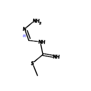 CSC(=N)N/C=N\N